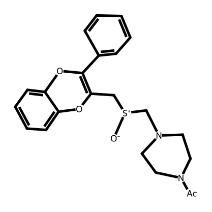 CC(=O)N1CCN(C[S+]([O-])CC2=C(c3ccccc3)Oc3ccccc3O2)CC1